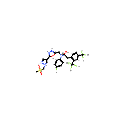 CS(=O)(=O)Cn1cc(-c2nnc(CN(C(=O)Cc3ccc(C(F)(F)F)cc3C(F)(F)F)c3ccc(F)cc3)o2)cn1